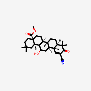 COC(=O)[C@]12CCC(C)(C)C[C@@H]1C1[C@H](O)C[C@@H]3[C@@]4(C)C=C(C#N)C(=O)C(C)(C)[C@@H]4CC[C@@]3(C)[C@]1(C)CC2